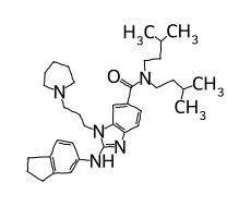 CC(C)CCN(CCC(C)C)C(=O)c1ccc2nc(Nc3ccc4c(c3)CCC4)n(CCCN3CCCCC3)c2c1